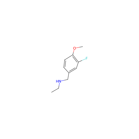 CCNCc1ccc(OC)c(F)c1